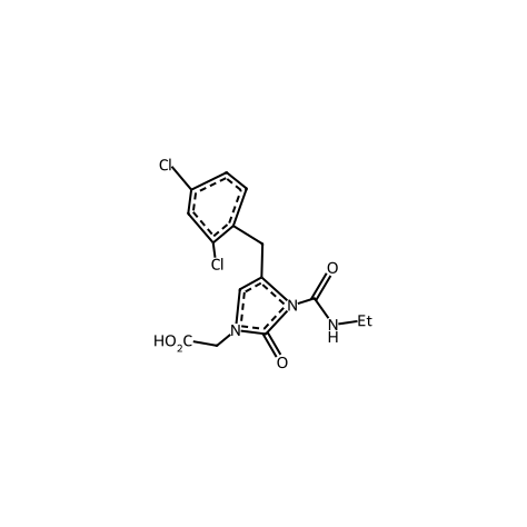 CCNC(=O)n1c(Cc2ccc(Cl)cc2Cl)cn(CC(=O)O)c1=O